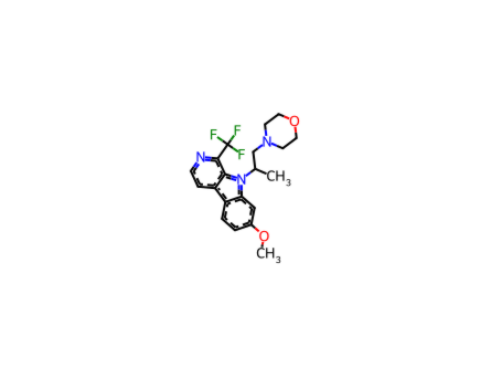 COc1ccc2c3ccnc(C(F)(F)F)c3n(C(C)CN3CCOCC3)c2c1